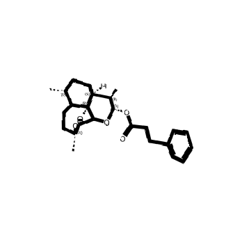 C[C@H]1[C@H](OC(=O)CCc2ccccc2)OC2O[C@]3(C)CCC4[C@H](C)CC[C@@H]1[C@@]24OO3